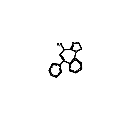 NC1N=C(c2ccccc2)c2ccccc2N2CCN=C12